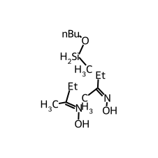 CCC(C)=NO.CCC(C)=NO.CCCCO[SiH2]C